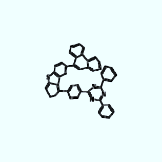 C1=c2sc3ccc(-c4cc5ccccc5c5ccccc45)cc3c2=C(c2ccc(-c3nc(-c4ccccc4)nc(-c4ccccc4)n3)cc2)CC1